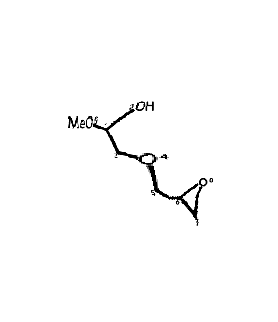 COC(O)COCC1CO1